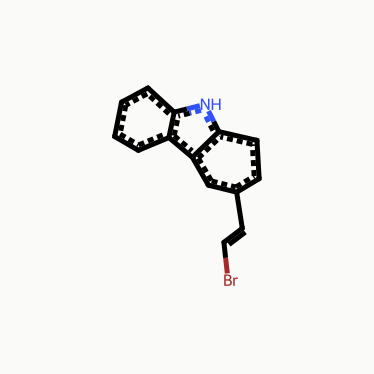 BrC=Cc1ccc2[nH]c3ccccc3c2c1